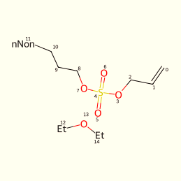 C=CCOS(=O)(=O)OCCCCCCCCCCCC.CCOCC